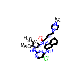 C=C/C(OC)=C(\C=C(/C)NC(=O)/C=C/CN1CCN(C(C)=O)CC1)Nc1ncc(Cl)c(Nc2ccc3ccccc3c2)n1